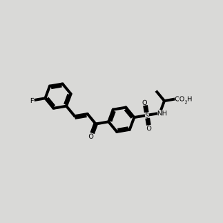 CC(NS(=O)(=O)c1ccc(C(=O)/C=C/c2cccc(F)c2)cc1)C(=O)O